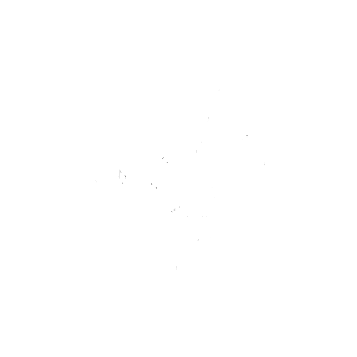 Cc1ccccc1N1N(C)C=CN1c1c(C(C)C)cccc1C(C)C